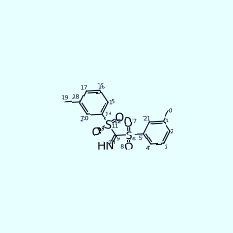 Cc1cccc(S(=O)(=O)C(=N)S(=O)(=O)c2cccc(C)c2)c1